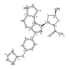 CC(=O)N1C[C@H](O)C[C@@H]1c1nc(-c2ccc(Cn3nccn3)cc2)c2cnc3[nH]ccc3n12